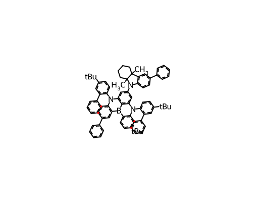 CC(C)(C)c1ccc(N2c3ccc(-c4ccccc4)cc3B3c4ccc(C(C)(C)C)cc4N(c4ccc(C(C)(C)C)cc4-c4ccccc4)c4cc(N5c6ccc(-c7ccccc7)cc6C6(C)CCCCC56C)cc2c43)c(-c2ccccc2)c1